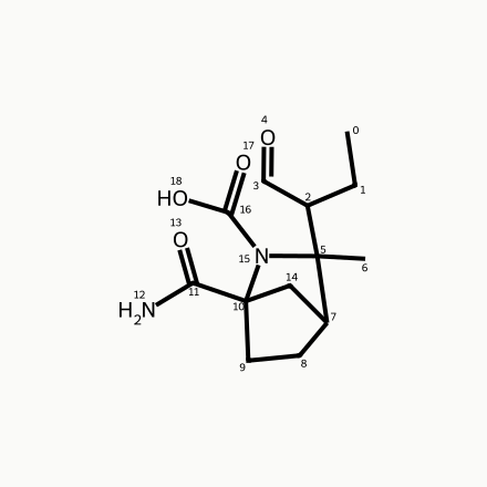 CCC(C=O)C1(C)C2CCC(C(N)=O)(C2)N1C(=O)O